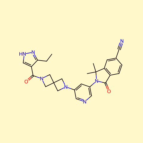 CCc1n[nH]cc1C(=O)N1CC2(C1)CN(c1cncc(N3C(=O)c4ccc(C#N)cc4C3(C)C)c1)C2